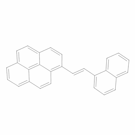 C(=Cc1ccc2ccc3cccc4ccc1c2c34)c1cccc2ccccc12